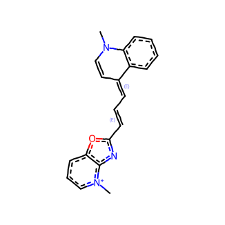 CN1C=C/C(=C\C=C\c2nc3c(ccc[n+]3C)o2)c2ccccc21